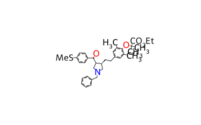 CCOC(=O)C(C)(C)Oc1c(C)cc(CC[C@H]2CN(Cc3ccccc3)CC2C(=O)c2ccc(SC)cc2)cc1C